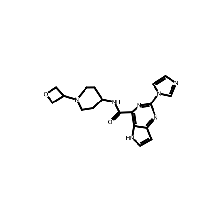 O=C(NC1CCN(C2COC2)CC1)c1nc(-n2ccnc2)nc2cc[nH]c12